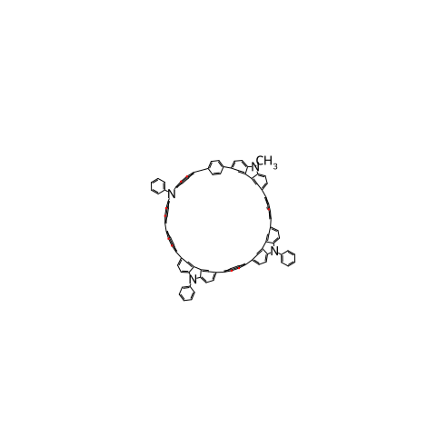 Cn1c2ccc3cc2c2cc(ccc21)-c1ccc(cc1)-c1ccc2c(c1)c1cc(ccc1n2-c1ccccc1)-c1ccc(cc1)-c1ccc2c(c1)c1cc(ccc1n2-c1ccccc1)-c1ccc(cc1)-c1ccc(cc1)N(c1ccccc1)c1ccc(cc1)-c1ccc-3cc1